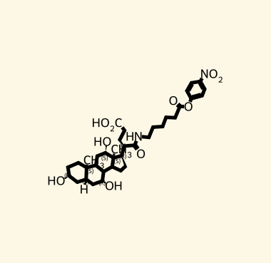 C[C@]12C(CC[C@@H]1[C@@H](CCC(=O)O)C(=O)NCCCCCC(=O)Oc1ccc([N+](=O)[O-])cc1)C1C(C[C@@H]2O)[C@@]2(C)CC[C@@H](O)C[C@H]2C[C@H]1O